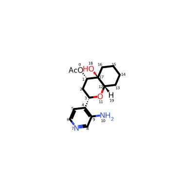 CC(=O)O[C@H]1C[C@@H](c2ccncc2N)O[C@H]2CCCC[C@@]12O